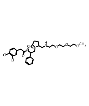 COCCOCCOCCNCC1CCCN1CC(c1ccccc1)N(C)C(=O)Cc1ccc(Cl)c(Cl)c1